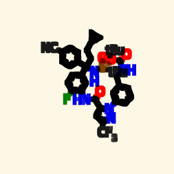 CC(C)(C)OC(=O)NCc1cccc(-n2nc(C(F)(F)F)cc2C(=O)Nc2cc(C(CCC3CC3)(N[S+]([O-])C(C)(C)C)c3ccc(C#N)cc3)ccc2F)c1